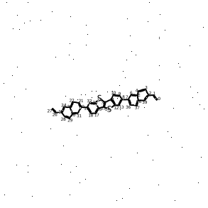 C=Cc1ccc2cc(-c3ccc4c(c3)sc3c5ccc(-c6ccc7cc(C=C)ccc7c6)cc5sc43)ccc2c1